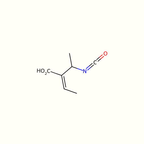 C/C=C(/C(=O)O)C(C)N=C=O